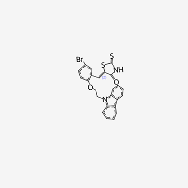 O=C1NC(=S)S/C1=C\c1cc(Br)ccc1OCCn1c2ccccc2c2ccccc21